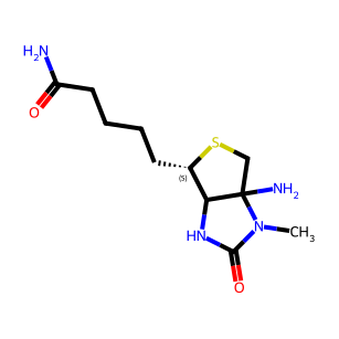 CN1C(=O)NC2[C@H](CCCCC(N)=O)SCC21N